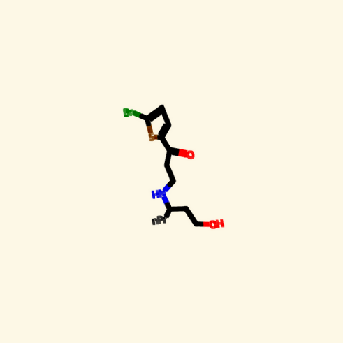 CCCC(CCO)NCCC(=O)c1ccc(Br)s1